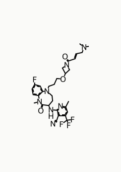 Cc1cc(C(F)(F)F)c(C#N)c(NC2CCN(CCCOC3CN(C(=O)C=CCN(C)C)C3)c3cc(F)ccc3N(C)C2=O)n1